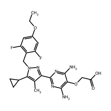 CCOc1cc(F)c(Cn2nc(-c3nc(N)c(OCC(=O)O)c(N)n3)c(C)c2C2CC2)c(F)c1